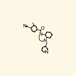 Cc1cc(C(=O)N2CCCN(Cc3cccnc3)c3ccccc32)ccc1C#N